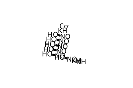 O=NO.O=NO.O=NO.O=NO.O=NO.O=NO.[Co].[KH].[KH].[KH]